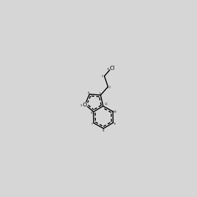 ClC[CH]c1coc2ccccc12